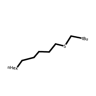 CCCCCCCCCCCSCC(C)(C)C